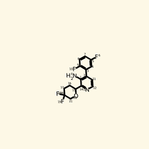 Nc1c(-c2cc(F)ccc2F)ccnc1C1CCC(F)(F)CO1